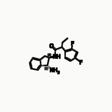 CCC(C(=O)N[C@@H]1Cc2ccccc2[C@H]1N)c1ccc(F)cc1F